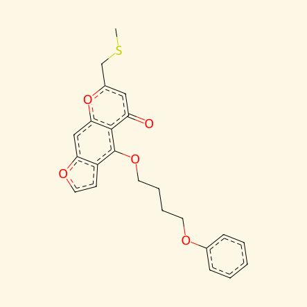 CSCc1cc(=O)c2c(OCCCCOc3ccccc3)c3ccoc3cc2o1